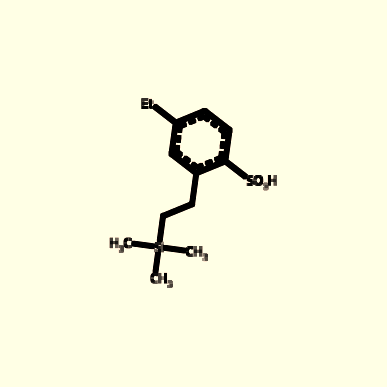 CCc1ccc(S(=O)(=O)O)c(CC[Si](C)(C)C)c1